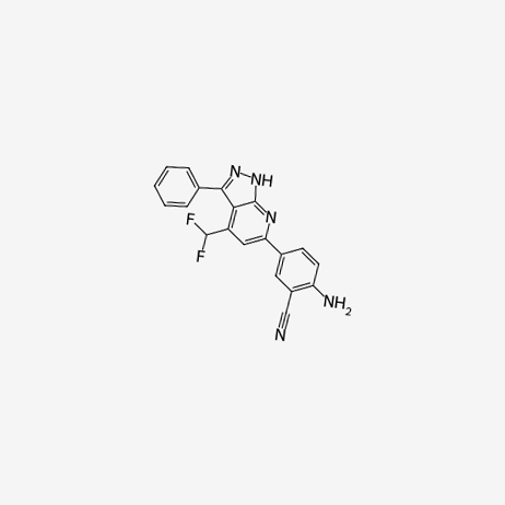 N#Cc1cc(-c2cc(C(F)F)c3c(-c4ccccc4)n[nH]c3n2)ccc1N